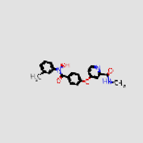 CNC(=O)c1cc(Oc2ccc(C(=O)N(O)c3cccc(C)c3)cc2)ccn1